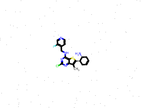 Cc1c([C@@H]2CC=CC[C@H]2N)sc2c(NCc3ccncc3F)nc(Cl)nc12